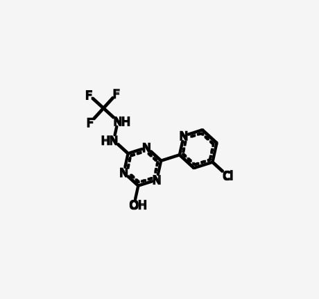 Oc1nc(NNC(F)(F)F)nc(-c2cc(Cl)ccn2)n1